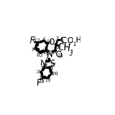 CC1(CC(=O)O)Oc2cc(F)ccc2N(c2nc3cc(F)ccc3s2)C1=O